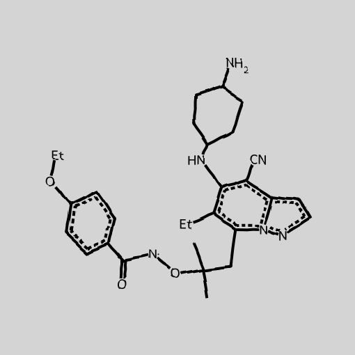 CCOc1ccc(C(=O)[N]OC(C)(C)Cc2c(CC)c(NC3CCC(N)CC3)c(C#N)c3ccnn23)cc1